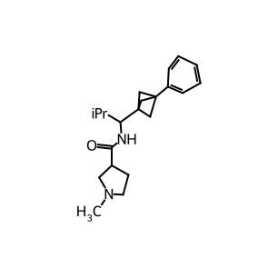 CC(C)C(NC(=O)C1CCN(C)C1)C12CC(c3ccccc3)(C1)C2